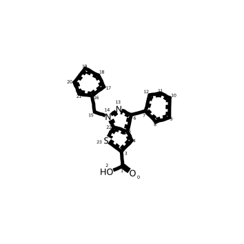 O=C(O)c1cc2c(-c3ccccc3)nn(Cc3ccccc3)c2s1